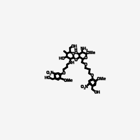 COc1cc(CO)c([N+](=O)[O-])cc1OCCCNC1C(OC2C(COCCCOc3cc([N+](=O)[O-])c(CO)cc3OC)OC(OC)C(N)C2O)OC(CO)C(C)C1O